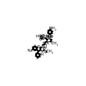 COC(=O)N[C@H](C(=O)NCCCC[C@@H](COP(=O)(O)O)N(CC(C)C)S(=O)(=O)c1ccc(N)cc1)C(c1ccccc1)c1ccc[c]([Na])c1